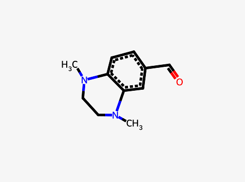 CN1CCN(C)c2cc(C=O)ccc21